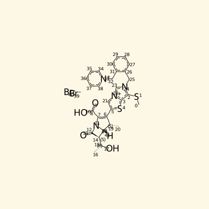 CSc1c2sc(C3=C(C(=O)O)N4C(=O)[C@H]([C@@H](C)O)[C@H]4[C@H]3C)c[n+]2cn1Cc1ccccc1C[n+]1ccccc1.[Br-].[Br-]